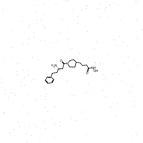 N[C@@H](CCc1ccccc1)CC(=O)N1CCC(CCCC(=O)NO)CC1